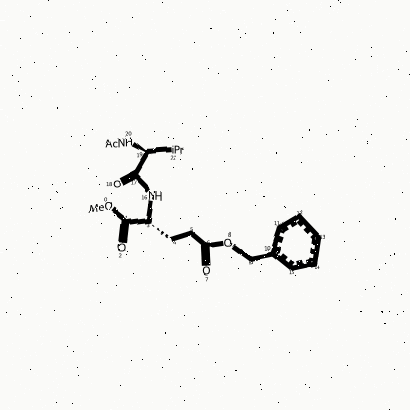 COC(=O)[C@@H](CCC(=O)OCc1ccccc1)NC(=O)[C@@H](NC(C)=O)C(C)C